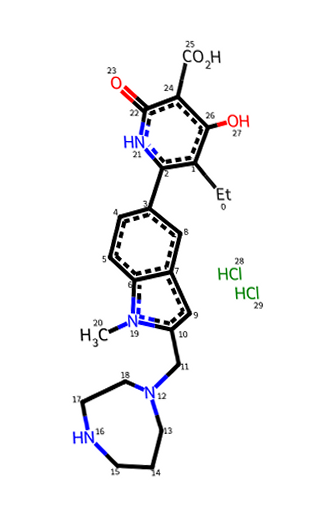 CCc1c(-c2ccc3c(c2)cc(CN2CCCNCC2)n3C)[nH]c(=O)c(C(=O)O)c1O.Cl.Cl